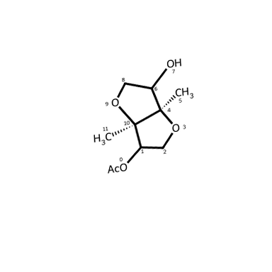 CC(=O)OC1CO[C@]2(C)C(O)CO[C@]12C